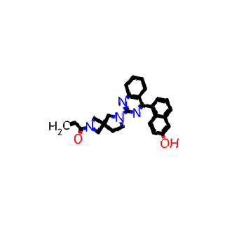 C=CC(=O)N1CC2(CCN(c3nc4c(c(-c5cccc6cc(O)ccc56)n3)CCCC4)C2)C1